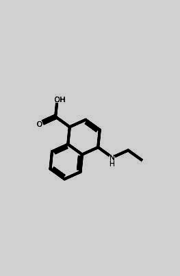 CCNC1C=CC(C(=O)O)c2ccccc21